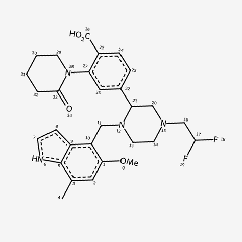 COc1cc(C)c2[nH]ccc2c1CN1CCN(CC(F)F)CC1c1ccc(C(=O)O)c(N2CCCCC2=O)c1